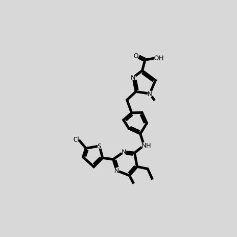 CCc1c(C)nc(-c2ccc(Cl)s2)nc1Nc1ccc(Cc2nc(C(=O)O)cn2C)cc1